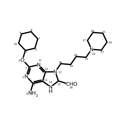 Nc1nc(OC2CCCCC2)nc2c1NC(C=O)N2CCCCN1CCCCC1